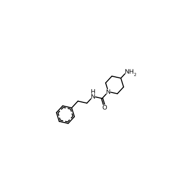 NC1CCN(C(=O)NCCc2ccccc2)CC1